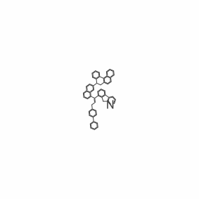 C(/Cc1ccc(-c2ccccc2)cc1)=C(\c1cccc2c1Cc1ncccc1-2)c1cccc2ccc(C3Cc4ccc5ccccc5c4-c4ccccc43)cc12